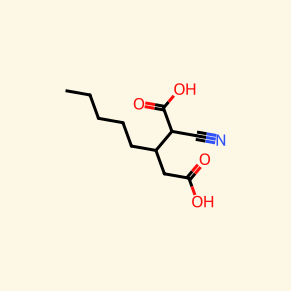 CCCCCC(CC(=O)O)C(C#N)C(=O)O